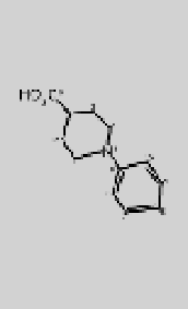 O=C(O)C1CCN(c2cc[c]cc2)CC1